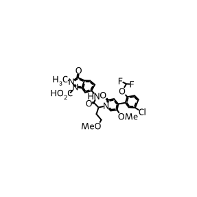 COCCC(C(=O)Nc1ccc2c(=O)n(C)n(C(=O)O)c2c1)n1cc(OC)c(-c2cc(Cl)ccc2OC(F)F)cc1=O